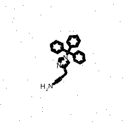 NC#CCc1cn(C(c2ccccc2)(c2ccccc2)c2ccccc2)cn1